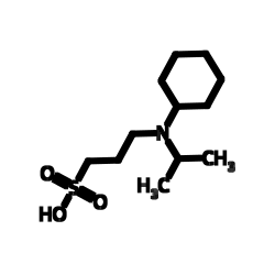 CC(C)N(CCCS(=O)(=O)O)C1CCCCC1